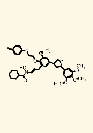 COc1cc(C2COC(c3cc(OC)c(OC)c(OC)c3)C2)cc(CC=CN(O)C(=O)C2CCCCC2)c1OCCSc1ccc(F)cc1